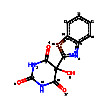 O=C1NC(=O)C(O)(c2nc3ccccc3s2)C(=O)N1